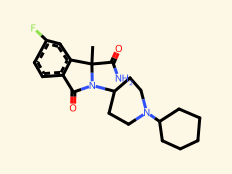 CC1(C(N)=O)c2cc(F)ccc2C(=O)N1C1CCN(C2CCCCC2)CC1